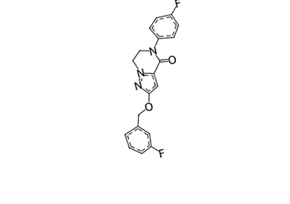 O=C1c2cc(OCc3cccc(F)c3)nn2CCN1c1ccc(F)cc1